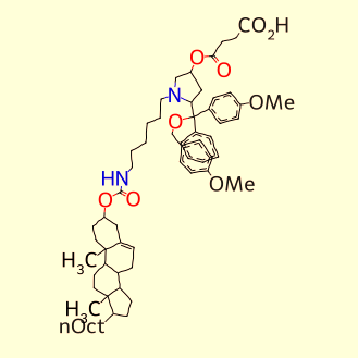 CCCCCCCCC1CCC2C3CC=C4CC(OC(=O)NCCCCCCN5CC(OC(=O)CCC(=O)O)CC5C(OCc5ccc(OC)cc5)(c5ccccc5)c5ccc(OC)cc5)CCC4(C)C3CCC12C